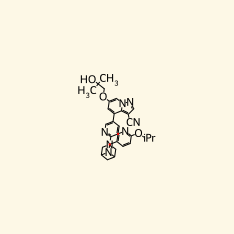 CC(C)Oc1ccc(CN2C3CC2CN(c2ccc(-c4cc(OCC(C)(C)O)cn5ncc(C#N)c45)cn2)C3)cn1